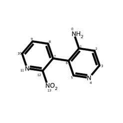 Nc1ccncc1-c1cccnc1[N+](=O)[O-]